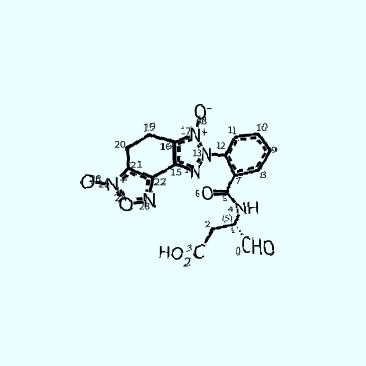 O=C[C@H](CC(=O)O)NC(=O)c1ccccc1-n1nc2c([n+]1[O-])CCc1c-2no[n+]1[O-]